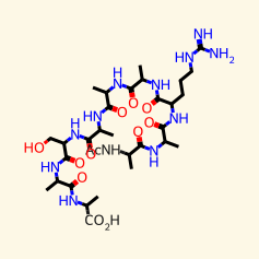 CC(=O)NC(C)C(=O)NC(C)C(=O)NC(CCCNC(=N)N)C(=O)NC(C)C(=O)NC(C)C(=O)NC(C)C(=O)NC(CO)C(=O)NC(C)C(=O)NC(C)C(=O)O